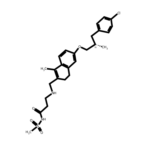 CC1=C(CNCCC(=O)NS(C)(=O)=O)CCc2cc(OC[C@@H](C)Cc3ccc(Cl)cc3)ccc21